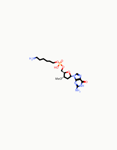 CO[C@H]1C[C@H](n2cnc3c(=O)[nH]c(N)nc32)O[C@@H]1COP(=O)(O)OCCCCCCN